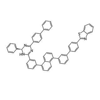 c1ccc(-c2ccc(C3=N[C@H](c4ccccc4)NC(c4cccc(-c5cccc6c(-c7cccc(-c8ccc(-c9nc%10ccccc%10s9)cc8)c7)cccc56)c4)=N3)cc2)cc1